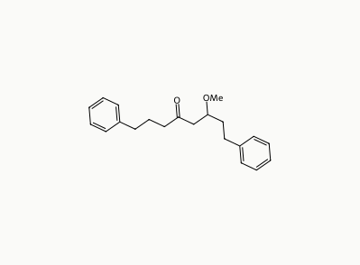 COC(CCc1ccccc1)CC(=O)CCCc1ccccc1